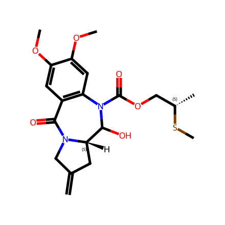 C=C1C[C@H]2C(O)N(C(=O)OC[C@H](C)SC)c3cc(OC)c(OC)cc3C(=O)N2C1